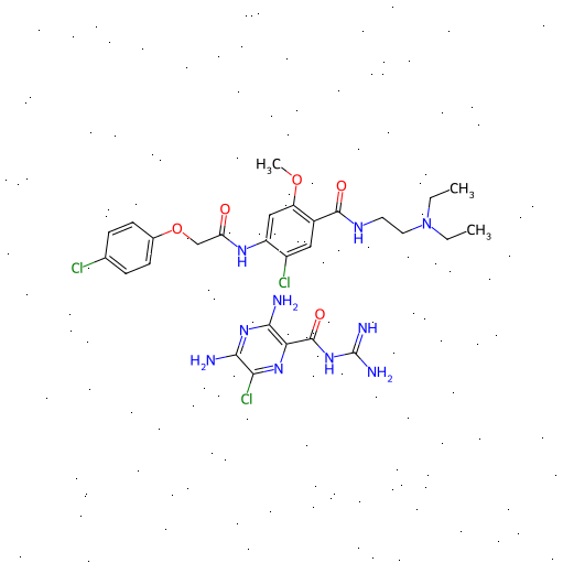 CCN(CC)CCNC(=O)c1cc(Cl)c(NC(=O)COc2ccc(Cl)cc2)cc1OC.N=C(N)NC(=O)c1nc(Cl)c(N)nc1N